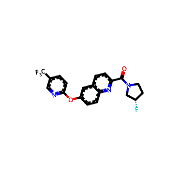 O=C(c1ccc2cc(Oc3ccc(C(F)(F)F)cn3)ccc2n1)N1CC[C@H](F)C1